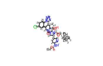 CC(C)(C)OC(=O)Nc1ccc(-c2cnc(C3(O)CCc4cc(-c5cc(Cl)ccc5-n5cnnn5)c[n+]([O-])c43)n2COCC[Si](C)(C)C)cn1